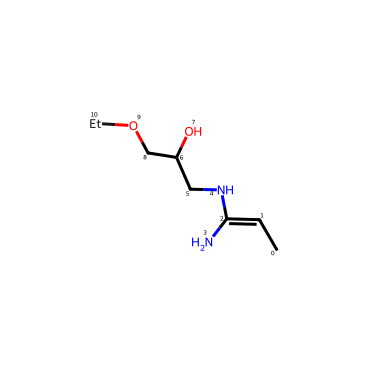 CC=C(N)NCC(O)COCC